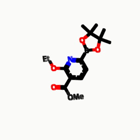 CCOc1nc(B2OC(C)(C)C(C)(C)O2)ccc1C(=O)OC